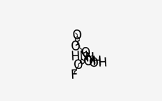 COc1ccc(C(=O)CCCCC(=O)NC(CN2CC[C@@H](O)C2)C(O)c2ccc(OCCCCF)cc2)cc1